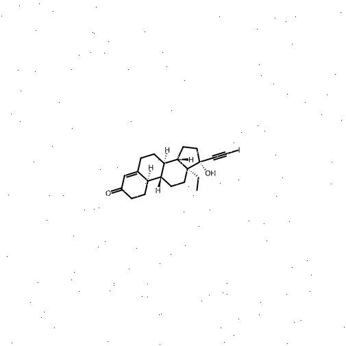 CC[C@]12CC[C@H]3[C@@H](CCC4=CC(=O)CC[C@@H]43)[C@@H]1CC[C@@]2(O)C#CI